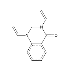 C=CN1CN(C=C)c2ccccc2C1=O